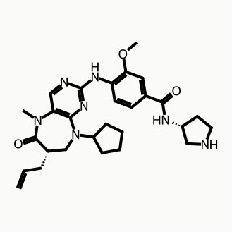 C=CC[C@H]1CN(C2CCCC2)c2nc(Nc3ccc(C(=O)N[C@@H]4CCNC4)cc3OC)ncc2N(C)C1=O